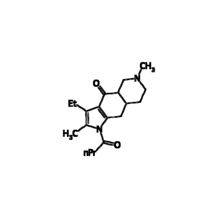 CCCC(=O)n1c(C)c(CC)c2c1CC1CCN(C)CC1C2=O